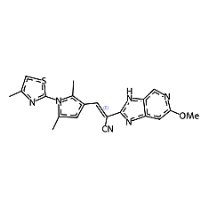 COc1cc2nc(/C(C#N)=C/c3cc(C)n(-c4nc(C)cs4)c3C)[nH]c2cn1